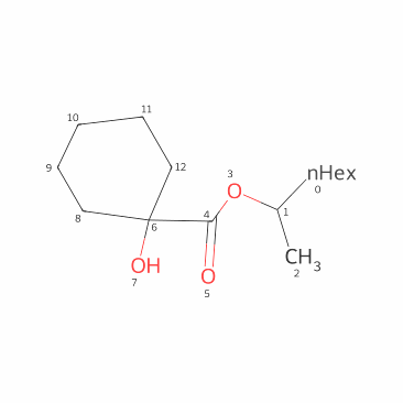 CCCCCCC(C)OC(=O)C1(O)CCCCC1